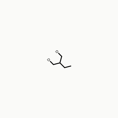 CCC(C[O])C[O]